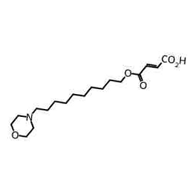 O=C(O)C=CC(=O)OCCCCCCCCCCN1CCOCC1